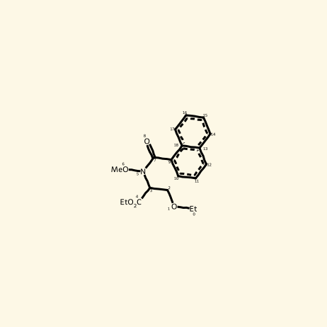 CCOCC(C(=O)OCC)N(OC)C(=O)c1cccc2ccccc12